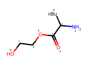 CCCCC(N)C(=O)OCCO